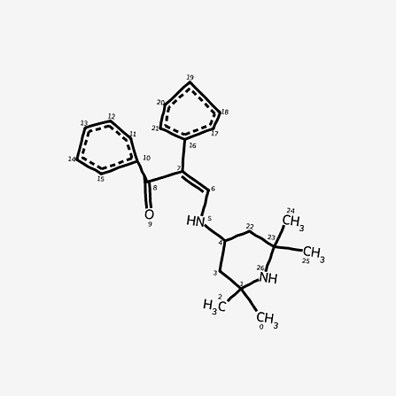 CC1(C)CC(NC=C(C(=O)c2ccccc2)c2ccccc2)CC(C)(C)N1